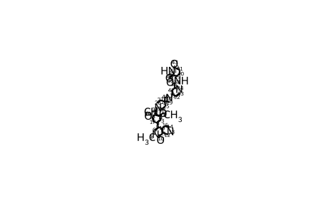 COc1cc(-c2cn(C)c(=O)c3cnccc23)cc(OC)c1CN1CCC2(CC1)CN(c1ccnc(C(=O)NC3CCC(=O)NC3=O)c1)C2